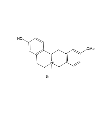 COc1ccc2c(c1)CC1c3ccc(O)cc3CC[N+]1(C)C2.[Br-]